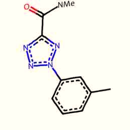 CNC(=O)c1nnn(-c2cccc(C)c2)n1